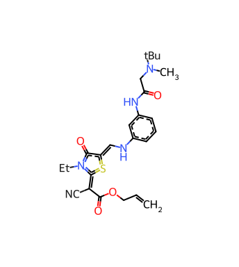 C=CCOC(=O)C(C#N)=c1sc(=CNc2cccc(NC(=O)CN(C)C(C)(C)C)c2)c(=O)n1CC